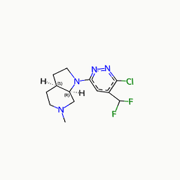 CN1CC[C@H]2CCN(c3cc(C(F)F)c(Cl)nn3)[C@H]2C1